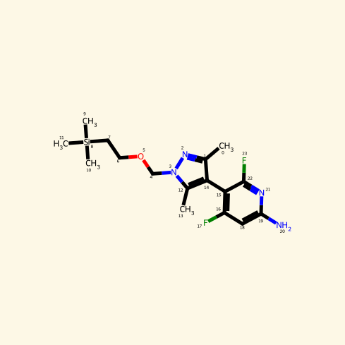 Cc1nn(COCC[Si](C)(C)C)c(C)c1-c1c(F)cc(N)nc1F